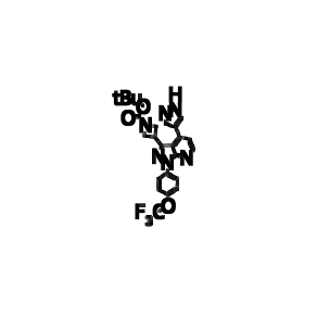 CC(C)(C)OC(=O)N1CC(c2nn(-c3ccc(OC(F)(F)F)cc3)c3nccc(-c4cn[nH]c4)c23)C1